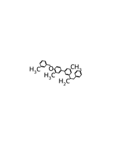 C=C(Cc1ccccc1)c1cc(C)cc(-c2ccc(OCc3cccc(C)c3)c(C)c2)c1